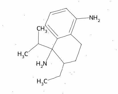 CCC1CCc2c(N)cccc2C1(N)C(C)C